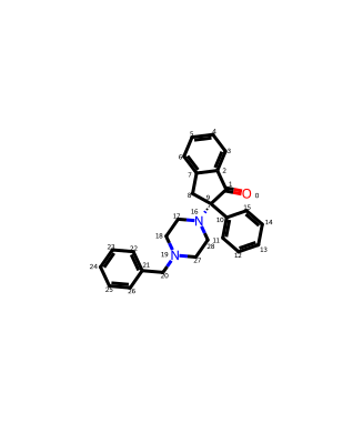 O=C1c2ccccc2C[C@@]1(c1ccccc1)N1CCN(Cc2ccccc2)CC1